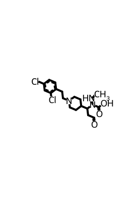 CNN(C(=O)O)C(CC=O)C1CCN(CCc2ccc(Cl)cc2Cl)CC1